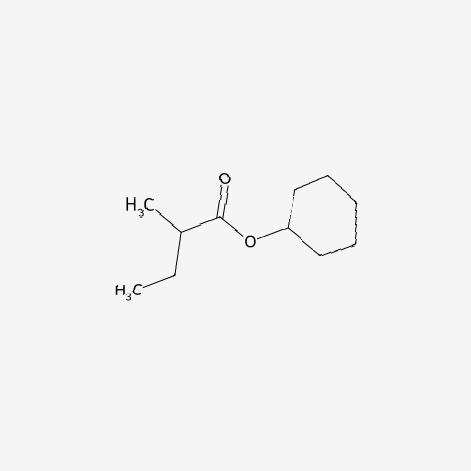 CCC(C)C(=O)OC1CCCCC1